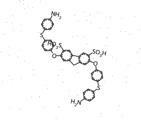 Nc1ccc(Sc2ccc(Oc3cc4c(cc3S(=O)(=O)O)-c3cc(S(=O)(=O)O)c(Oc5ccc(Sc6ccc(N)cc6)cc5)cc3C4)cc2)cc1